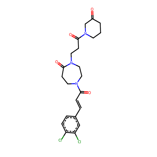 O=C1CCCN(C(=O)CCN2CCN(C(=O)C=Cc3ccc(Cl)c(Cl)c3)CCC2=O)C1